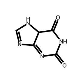 O=C1N=C2N=CNC2C(=O)N1